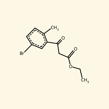 CCOC(=O)CC(=O)c1cc(Br)ccc1C